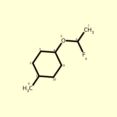 CC1CCC(OC(C)F)CC1